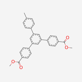 COC(=O)c1ccc(-c2cc(-c3ccc(C)cc3)cc(-c3ccc(C(=O)OC)cc3)c2)cc1